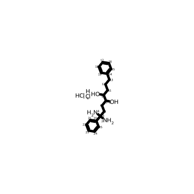 Cl.Cl.NC(N)(CCC(O)C(O)CCCc1ccccc1)c1ccccc1